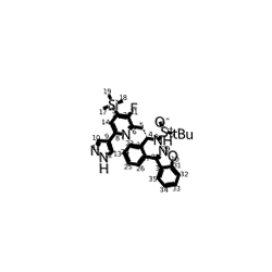 CC(C)(C)[S+]([O-])N[C@@H](Cc1nc(-c2cn[nH]c2)cc([Si](C)(C)C)c1F)c1ccccc1-c1noc2ccccc12